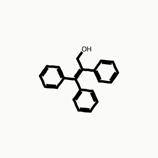 OCC(=C(c1ccccc1)c1ccccc1)c1ccccc1